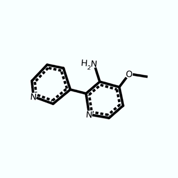 COc1ccnc(-c2cccnc2)c1N